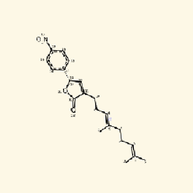 CC(C)=CCC/C(C)=C/CCC1=C[C@@H](c2ccc([N+](=O)[O-])cc2)OC1=O